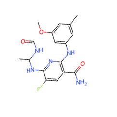 COc1cc(C)cc(Nc2nc(NC(C)NC=O)c(F)cc2C(N)=O)c1